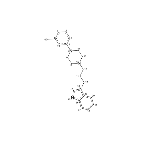 Fc1cccc(N2CCN(CCCn3cnc4ccccc43)CC2)c1